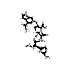 CO/N=C(\C(=O)NC1C(=O)N2C(C(=O)[O-])=C(C[n+]3cc(C(N)=O)c4ccoc4c3)CS[C@H]12)c1coc(N)n1